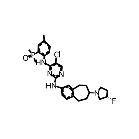 Cc1ccc(Nc2nc(Nc3ccc4c(c3)CCC(N3CC[C@H](F)C3)CC4)ncc2Cl)c(P(C)(C)=O)c1